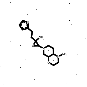 NN1C[CH]OC2CN(C3OC3(N)CCc3cccs3)CCC21